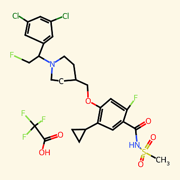 CS(=O)(=O)NC(=O)c1cc(C2CC2)c(OCC2CCN(C(CF)c3cc(Cl)cc(Cl)c3)CC2)cc1F.O=C(O)C(F)(F)F